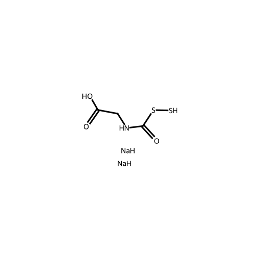 O=C(O)CNC(=O)SS.[NaH].[NaH]